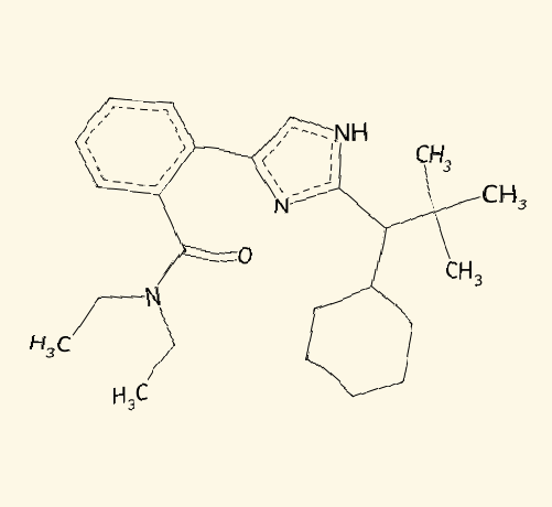 CCN(CC)C(=O)c1ccccc1-c1c[nH]c(C(C2CCCCC2)C(C)(C)C)n1